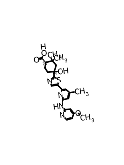 COc1ccnc(Nc2cc(C)cc(-c3cnc([C@]4(O)CC[C@@H](C(=O)O)C(C)(C)C4)s3)n2)c1